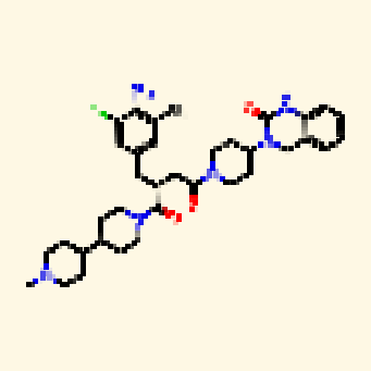 CN1CCC(C2CCN(C(=O)[C@H](CC(=O)N3CCC(N4Cc5ccccc5NC4=O)CC3)Cc3cc(Cl)c(N)c(C(F)(F)F)c3)CC2)CC1